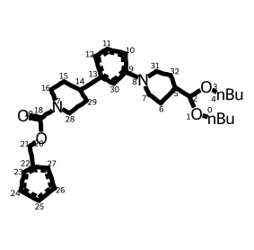 CCCCOC(OCCCC)C1CCN(c2cccc(C3CCN(C(=O)OCc4ccccc4)CC3)c2)CC1